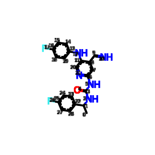 CC(NC(=O)Nc1cc(C=N)c(Nc2ccc(F)cc2)cn1)c1ccc(F)cc1